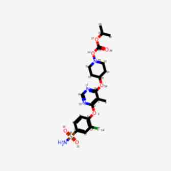 Cc1c(Oc2ccc(S(N)(=O)=O)cc2F)ncnc1OC1CCN(OC(=O)OC(C)C)CC1